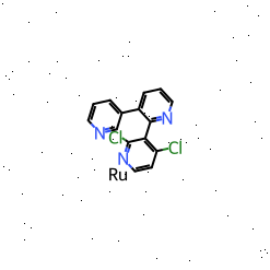 Clc1ccnc(Cl)c1-c1ncccc1-c1cccnc1.[Ru]